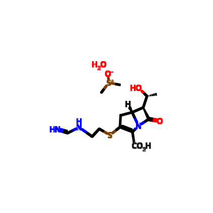 C[C@@H](O)[C@H]1C(=O)N2C(C(=O)O)=C(SCCNC=N)C[C@H]12.C[S+](C)[O-].O